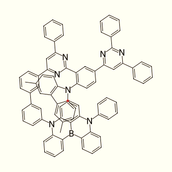 Cc1ccc2c(c1)c1cc(C)ccc1n2-c1ccc(-c2cc(-c3ccccc3)nc(-c3ccccc3)n2)cc1-c1nc(-c2ccccc2)cc(-c2cccc(-c3cccc(N4c5ccccc5B5c6ccccc6N(c6ccccc6)c6cccc4c65)c3)c2)n1